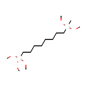 CO[Si](C)(CCCCCCCC[Si](OC)(OC)OC)OC